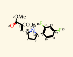 COC(=O)C=C[C@H]1CC[C@@H](c2ccc(F)cc2F)N1C(=O)O